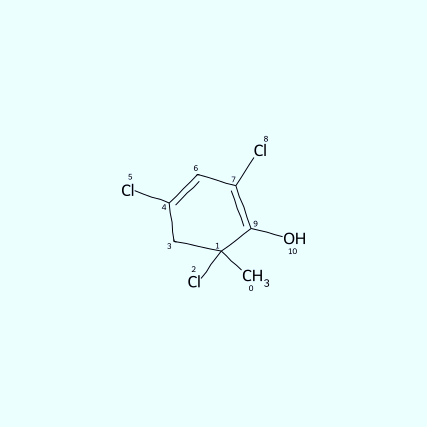 CC1(Cl)CC(Cl)=CC(Cl)=C1O